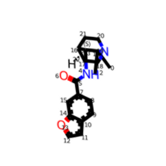 CC1(C)[C@@H](NC(=O)c2ccc3ccoc3c2)C2CCN1CC2